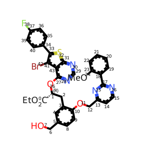 CCOC(=O)[C@@H](Cc1cc(CO)ccc1OCc1ccnc(-c2ccccc2OC)n1)Oc1ncnc2sc(-c3ccc(F)cc3)c(Br)c12